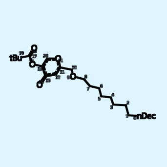 CCCCCCCCCCCCCCCCCCOCc1cc(=O)c(OC(=O)C(C)(C)C)co1